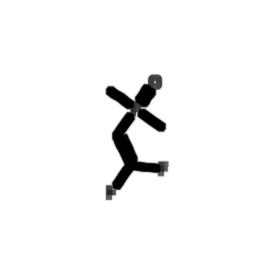 CP(C)(=O)C=C(F)F